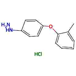 Cc1ccccc1Oc1ccc(NN)cc1.Cl